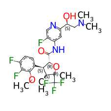 COc1c([C@H]2[C@H](C(=O)Nc3cc([C@@H](O)CN(C)C)ncc3F)O[C@@](C)(C(F)(F)F)[C@H]2C)ccc(F)c1F